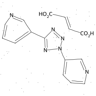 O=C(O)C=CC(=O)O.c1cncc(-c2nnn(-c3cccnc3)n2)c1